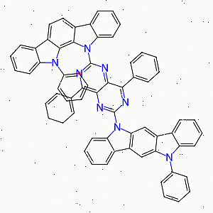 C1=CC(c2nc(-n3c4ccccc4c4ccc5c6ccccc6n(-c6ccccc6)c5c43)nc3c(-c4ccccc4)nc(-n4c5ccccc5c5cc6c(cc54)c4ccccc4n6-c4ccccc4)nc23)=CCC1